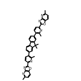 Cc1ccc2oc(-c3ccc(-c4ccc5c(c4)C(C)(C)c4cc(-c6ccc(-c7nc8nc(C)ccc8o7)nc6C)ccc4-5)c(C)n3)nc2n1